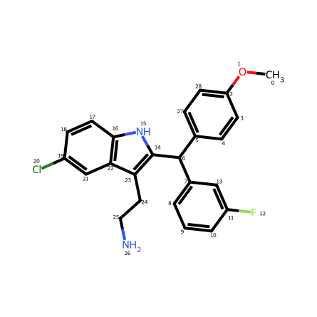 COc1ccc(C(c2cccc(F)c2)c2[nH]c3ccc(Cl)cc3c2CCN)cc1